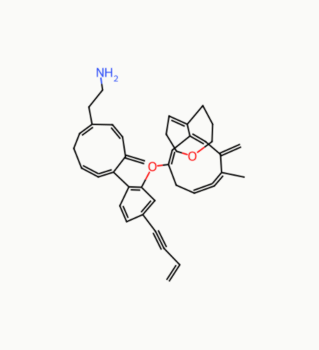 C=CC#Cc1ccc(C2=C=CC/C=C(CCN)\C=C/C2=C)c(O/C2=C/C(C3=C\CCOCCC\3)=C\C(=C)C(C)=C=CC2)c1